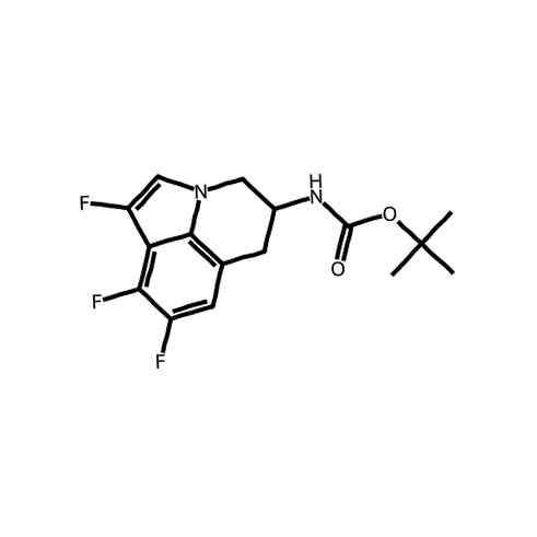 CC(C)(C)OC(=O)NC1Cc2cc(F)c(F)c3c(F)cn(c23)C1